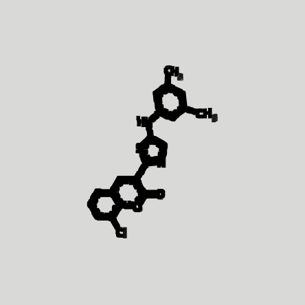 Cc1cc(C)cc(Nc2cnc(-c3cc4cccc(Cl)c4oc3=O)s2)c1